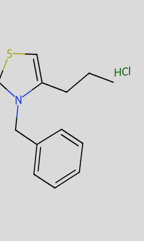 CCCC1=CSCN1Cc1ccccc1.Cl